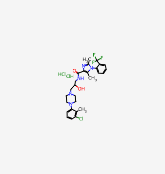 Cc1c(Cl)cccc1N1CCN(CC(O)CNC(=O)c2nc(C)n(-c3ccccc3C(F)(F)F)c2C)CC1.Cl.Cl